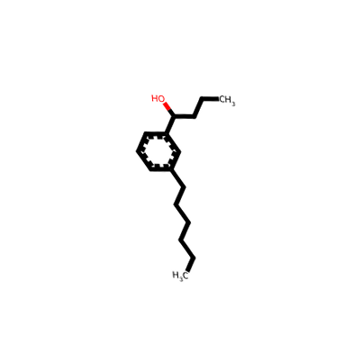 CCCCCCc1cccc(C(O)CCC)c1